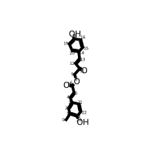 Cc1cc(/C=C/C(=O)OCC(=O)/C=C/c2ccc(O)cc2)ccc1O